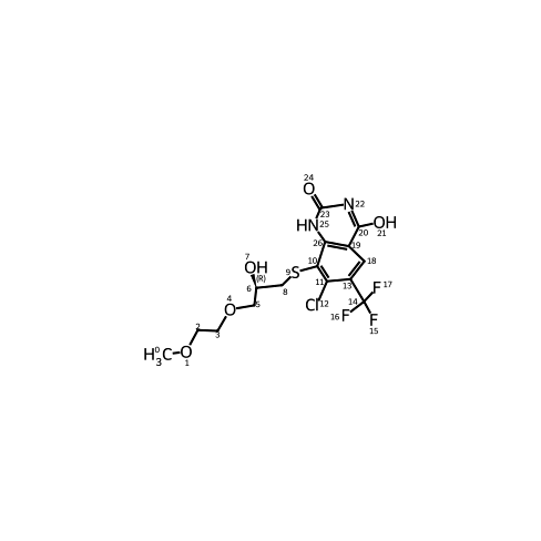 COCCOC[C@@H](O)CSc1c(Cl)c(C(F)(F)F)cc2c(O)nc(=O)[nH]c12